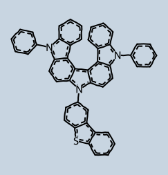 c1ccc(-n2c3ccccc3c3c4c5c6c7ccccc7n(-c7ccccc7)c6ccc5n(-c5ccc6sc7ccccc7c6c5)c4ccc32)cc1